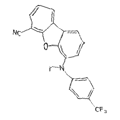 N#Cc1cccc2c1oc1c(N(I)c3ccc(C(F)(F)F)cc3)cccc12